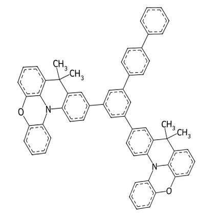 CC1(C)c2cc(-c3cc(-c4ccc(-c5ccccc5)cc4)cc(-c4ccc5c(c4)C(C)(C)c4cccc6c4N5c4ccccc4O6)c3)ccc2N2c3ccccc3Oc3cccc1c32